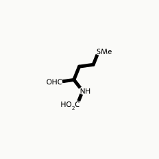 CSCCC(C=O)NC(=O)O